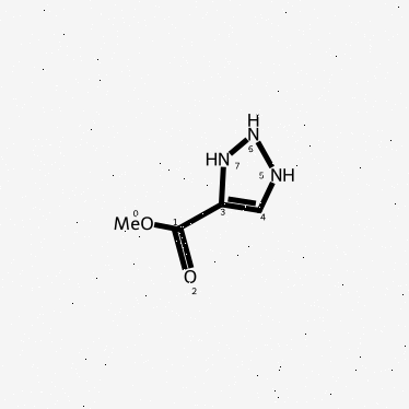 COC(=O)C1=CNNN1